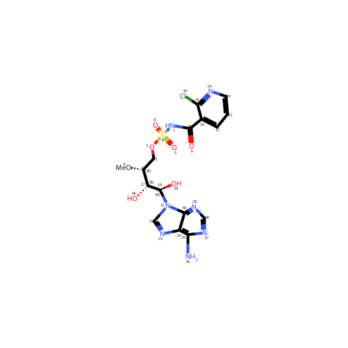 CO[C@H](COS(=O)(=O)NC(=O)c1cccnc1Cl)[C@@H](O)[C@@H](O)n1cnc2c(N)ncnc21